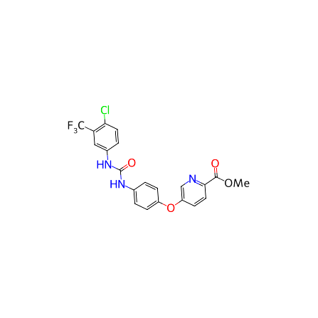 COC(=O)c1ccc(Oc2ccc(NC(=O)Nc3ccc(Cl)c(C(F)(F)F)c3)cc2)cn1